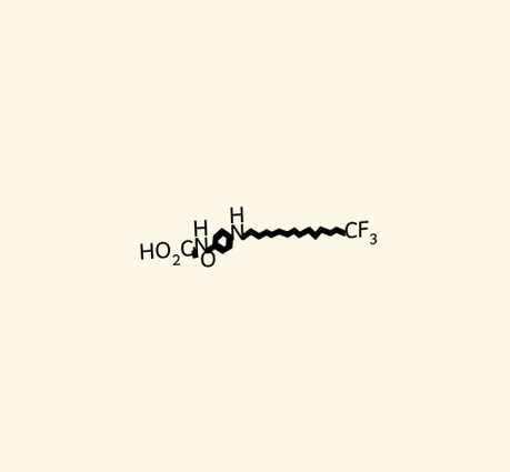 CC(NC(=O)c1ccc(NCCCCCCCCCCCCCCCC(F)(F)F)cc1)C(=O)O